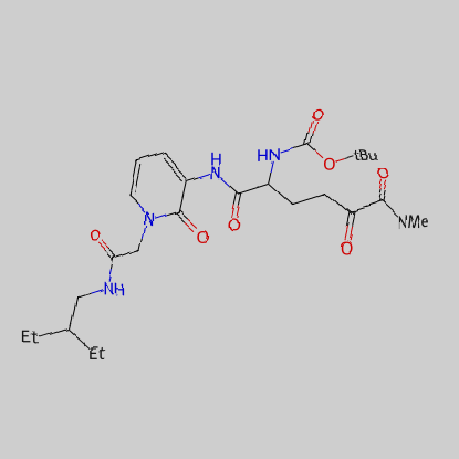 CCC(CC)CNC(=O)Cn1cccc(NC(=O)C(CCC(=O)C(=O)NC)NC(=O)OC(C)(C)C)c1=O